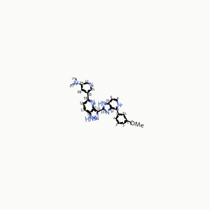 COc1cccc(-c2nccc3[nH]c(-c4n[nH]c5ccc(-c6cncc(N(C)C)c6)nc45)nc23)c1